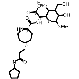 CSC1OC([C@H](NC(=O)[C@@H]2CC[C@H](CCC(=O)NC3CCCC3)CCN2)[C@H](C)Cl)C(O)C(CO)C1O